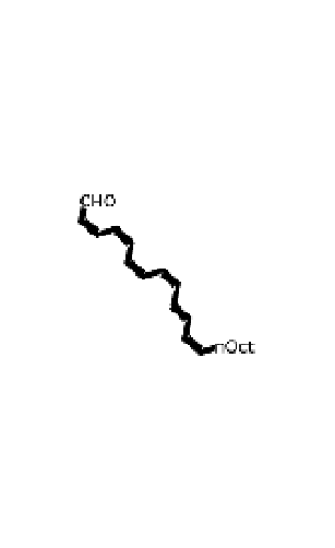 CCCCCCCC\C=C/C=C/C=C\C=C/C=C\C=C/C=O